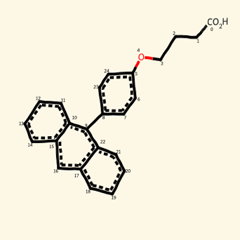 O=C(O)CCCOc1ccc(-c2c3ccccc3cc3ccccc23)cc1